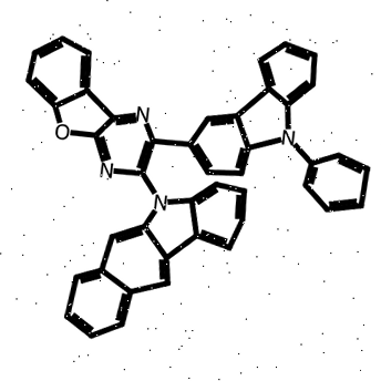 c1ccc(-n2c3ccccc3c3cc(-c4nc5c(nc4-n4c6ccccc6c6cc7ccccc7cc64)oc4ccccc45)ccc32)cc1